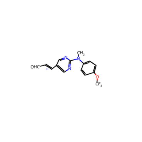 CN(c1ccc(OC(F)(F)F)cc1)c1ncc(/C=C/C=O)cn1